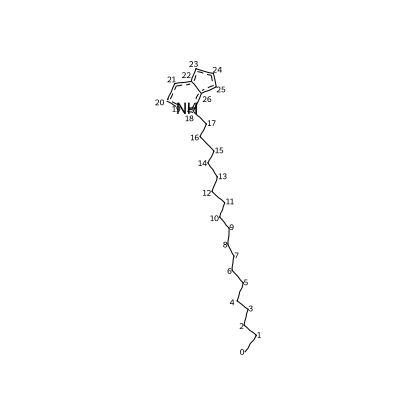 CCCCCCCCCCCCCCCCCCc1[nH]ccc2cccc1-2